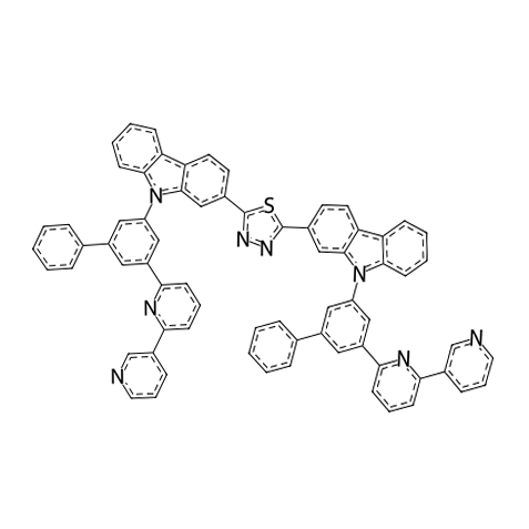 c1ccc(-c2cc(-c3cccc(-c4cccnc4)n3)cc(-n3c4ccccc4c4ccc(-c5nnc(-c6ccc7c8ccccc8n(-c8cc(-c9ccccc9)cc(-c9cccc(-c%10cccnc%10)n9)c8)c7c6)s5)cc43)c2)cc1